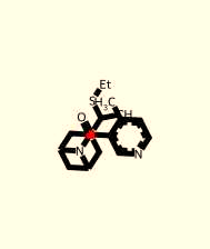 CCSC(C)N1CC2CC(C1)N2C(=O)c1cnccc1C